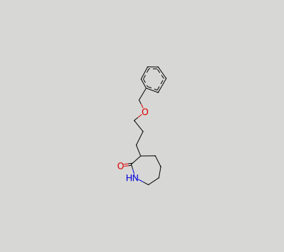 O=C1NCCCCC1CCCOCc1ccccc1